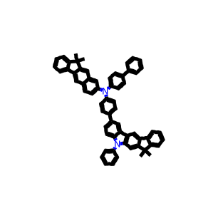 CC1(C)c2ccccc2-c2cc3ccc(N(c4ccc(-c5ccccc5)cc4)c4ccc(-c5ccc6c(c5)c5cc7c(cc5n6-c5ccccc5)C(C)(C)c5ccccc5-7)cc4)cc3cc21